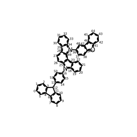 c1ccc2c(c1)-c1ccccc1C2c1ccc(-n2c3ccccc3c3c2ccc2c4ccccc4n(-c4ccc5oc6ccccc6c5c4)c23)cc1